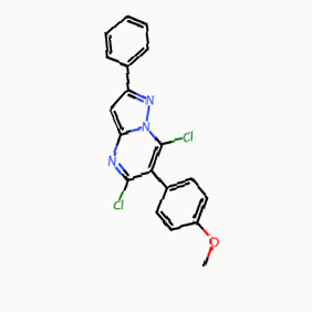 COc1ccc(-c2c(Cl)nc3cc(-c4ccccc4)nn3c2Cl)cc1